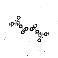 C1=CC(c2nc(C3=CC=NCC3)nc(-c3ccc(-n4c5ccccc5c5cc(-c6ccc7c(c6)c6c(n7-c7ccc(-c8nc(-c9ccccc9)nc(-c9ccncc9)n8)cc7)CCC=C6)ccc54)cc3)n2)=CCC1